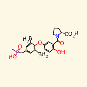 Bc1cc(CP(C)(=O)O)cc(B)c1Oc1ccc(O)c(C(=O)N2CCC[C@H]2C(=O)O)c1